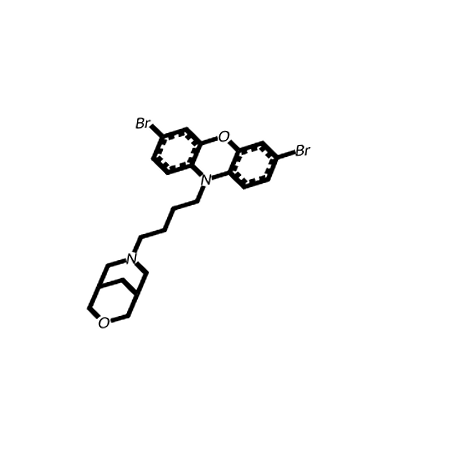 Brc1ccc2c(c1)Oc1cc(Br)ccc1N2CCCCN1CC2COCC(C2)C1